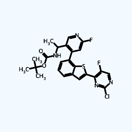 CC(NC(=O)OC(C)(C)C)c1cnc(F)cc1-c1cccc2cc(-c3nc(Cl)ncc3F)sc12